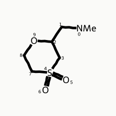 CNCC1CS(=O)(=O)CCO1